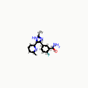 Cc1cccc(-c2[nH]c(C(C)C)nc2-c2ccc(F)c(C(N)=O)c2)n1